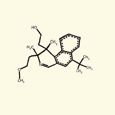 COCCC1(C)N=Cc2cc(C(C)(C)C)c3ccccc3c2C1(C)CCO